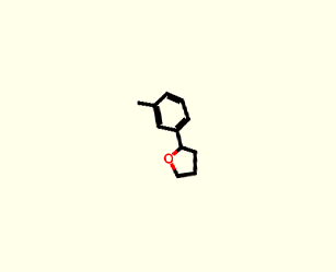 Cc1cccc([C]2CCCO2)c1